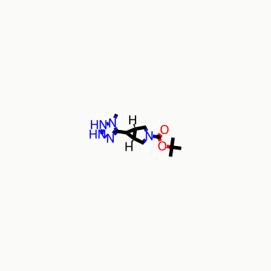 CN1NNN=C1C1[C@H]2CN(C(=O)OC(C)(C)C)C[C@@H]12